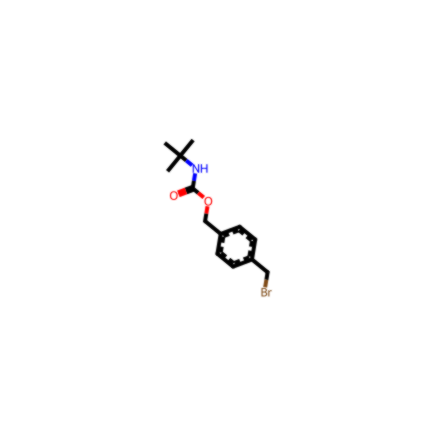 CC(C)(C)NC(=O)OCc1ccc(CBr)cc1